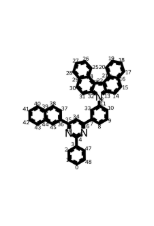 c1ccc(-c2nc(-c3cccc(-n4c5ccc6ccccc6c5c5c6ccccc6ccc54)c3)cc(-c3ccc4ccccc4c3)n2)cc1